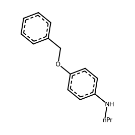 CCCNc1ccc(OCc2ccccc2)cc1